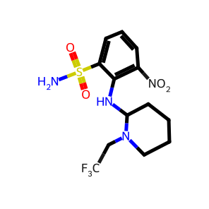 NS(=O)(=O)c1cccc([N+](=O)[O-])c1NC1CCCCN1CC(F)(F)F